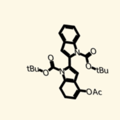 CC(=O)OC1=CCCc2c1cc(-c1cc3ccccc3n1C(=O)OC(C)(C)C)n2C(=O)OC(C)(C)C